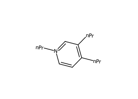 CCCc1cc[n+](CCC)cc1CCC